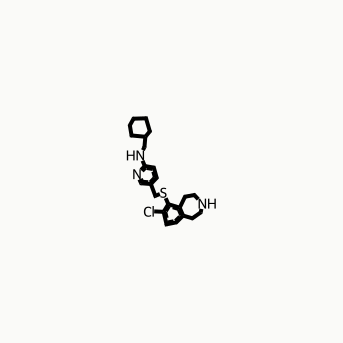 Clc1ccc2c(c1SCc1ccc(NCC3CCCCC3)nc1)CCNCC2